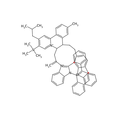 C=C1CC2C(CCc3ccc4c(oc5ccccc54)c3-c3n(-c4c(-c5ccccc5)ccc5ccccc45)c4ccccc4[n+]31)c1cc(C)ccc1-c1cc(CC(C)C)c([Si](C)(C)C)c[n+]12